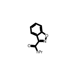 CCCC(=O)c1noc2ccccc12